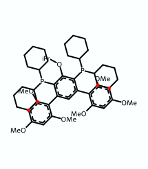 COc1cc(OC)c(-c2cc(-c3c(OC)cc(OC)cc3OC)c(P(C3CCCCC3)C3CCCCC3)c(OC(C)C)c2P(C2CCCCC2)C2CCCCC2)c(OC)c1